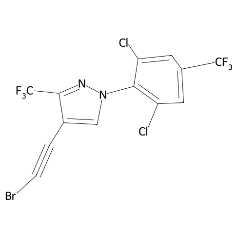 FC(F)(F)c1cc(Cl)c(-n2cc(C#CBr)c(C(F)(F)F)n2)c(Cl)c1